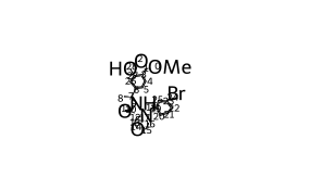 COC(=O)c1ccc([C@H](C)NC(=O)[C@H]2COCCN2Cc2cccc(Br)c2)cc1O